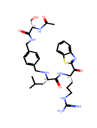 CC(=O)N[C@@H](CO)C(=O)NCc1ccc(CN[C@@H](CC(C)C)C(=O)N[C@@H](CCCNC(=N)N)C(=O)c2nc3ccccc3s2)cc1